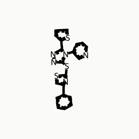 c1ccc(-c2csc(Sc3nnc(-c4cccs4)n3-c3cccnc3)n2)cc1